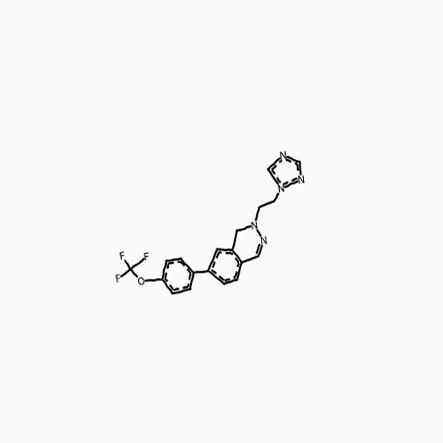 FC(F)(F)Oc1ccc(-c2ccc3c(c2)CN(CCn2cncn2)N=C3)cc1